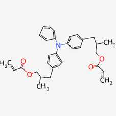 C=CC(=O)OCC(C)Cc1ccc(N(c2ccccc2)c2ccc(CC(C)COC(=O)C=C)cc2)cc1